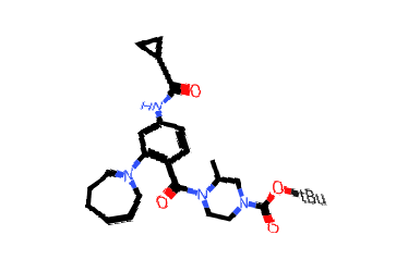 CC1CN(C(=O)OC(C)(C)C)CCN1C(=O)c1ccc(NC(=O)C2CC2)cc1N1CCCCCC1